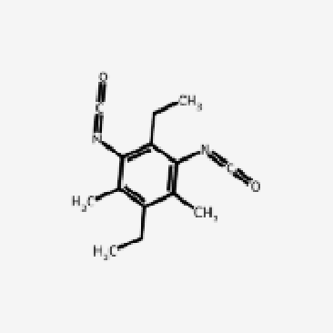 CCc1c(C)c(N=C=O)c(CC)c(N=C=O)c1C